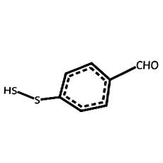 O=Cc1ccc(SS)cc1